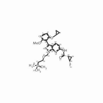 COc1nccc(OC2CC2)c1-c1nn(COCC[Si](C)(C)C)c2nc(NC(=O)[C@@H]3C[C@@H]3F)ccc12